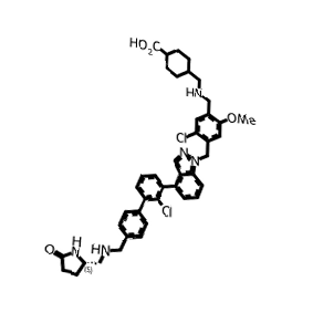 COc1cc(Cn2ncc3c(-c4cccc(-c5ccc(CNC[C@@H]6CCC(=O)N6)cc5)c4Cl)cccc32)c(Cl)cc1CNCC1CCC(C(=O)O)CC1